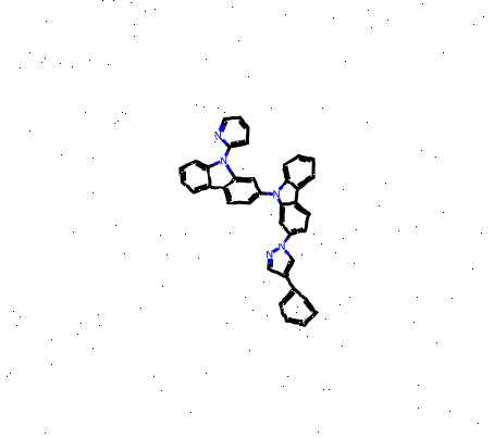 c1ccc(-c2cnn(-c3ccc4c5ccccc5n(-c5ccc6c7ccccc7n(-c7ccccn7)c6c5)c4c3)c2)cc1